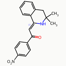 CC1(C)Cc2ccccc2/C(=C/C(=O)c2ccc([N+](=O)[O-])cc2)N1